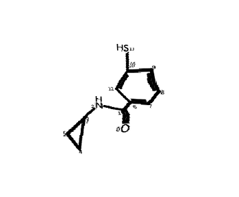 O=C(NC1CC1)c1cccc(S)c1